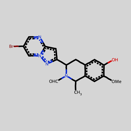 COc1cc2c(cc1O)CC(c1cc3ncc(Br)cn3n1)N(C=O)C2C